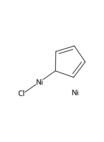 [Cl][Ni][CH]1C=CC=C1.[Ni]